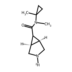 [2H]N1C[C@@H]2C(C(=O)N(C)C3(C)CC3)[C@@H]2C1